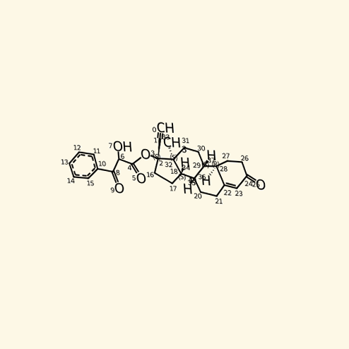 C#C[C@]1(OC(=O)C(O)C(=O)c2ccccc2)CC[C@H]2[C@@H]3CCC4=CC(=O)CC[C@@H]4[C@H]3CC[C@@]21C